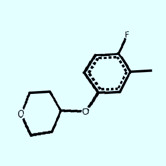 Cc1cc(OC2CCOCC2)ccc1F